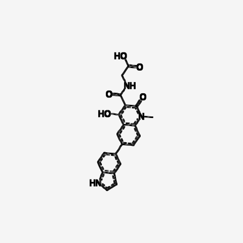 Cn1c(=O)c(C(=O)NCC(=O)O)c(O)c2cc(-c3ccc4[nH]ccc4c3)ccc21